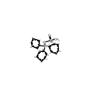 CS(=O)(=O)O[PH](c1ccccc1)(c1ccccc1)c1ccccc1